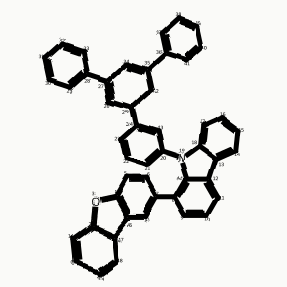 C1=CC2Oc3ccc(-c4cccc5c6ccccc6n(-c6cccc(C7C=C(c8ccccc8)C=C(c8ccccc8)C7)c6)c45)cc3C2C=C1